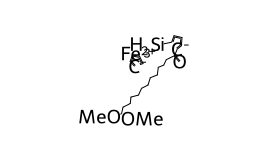 COC(CCCCCCCCCCCC(=O)[c-]1cccc1[SiH3])OC.[Fe+2].c1cc[cH-]c1